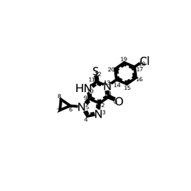 O=c1c2ncn(C3CC3)c2[nH]c(=S)n1-c1ccc(Cl)cc1